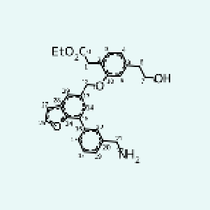 CCOC(=O)Cc1ccc(CCO)cc1OCc1cc(-c2cccc(CN)c2)c2occc2c1